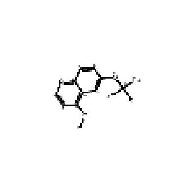 COc1ccnc2ccc(OC(F)(F)F)cc12